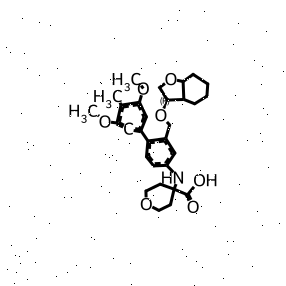 COc1cc(-c2ccc(NC3(C(=O)O)CCOCC3)cc2CO[C@H]2COC3CCCCC32)cc(OC)c1C